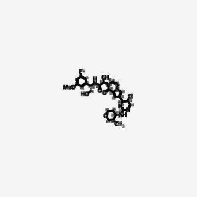 COc1cc(F)cc([C@@H](CO)NC(=O)C(C)n2cnn3cc(-c4nc(N[C@@H]5CCOC[C@H]5C)ncc4Cl)cc3c2=O)c1